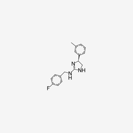 Cc1cccc([C@H]2CNC(NCc3ccc(F)cc3)=N2)c1